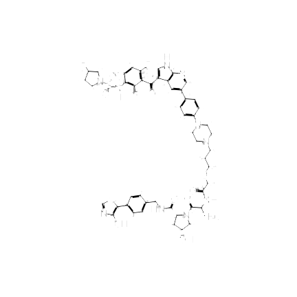 Cc1ncsc1-c1ccc(CNC(=O)[C@@H]2C[C@@H](O)CN2C(=O)C(NC(=O)COCCCN2CCN(c3ccc(-c4cnc5[nH]cc(C(=O)c6c(F)ccc(NS(=O)(=O)N7CCC(F)C7)c6F)c5c4)cc3)CC2)C(C)(C)C)cc1